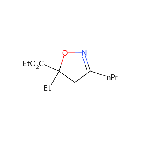 CCCC1=NOC(CC)(C(=O)OCC)C1